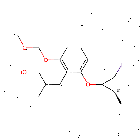 COCOc1cccc(OC2C(I)[C@H]2C)c1CC(C)CO